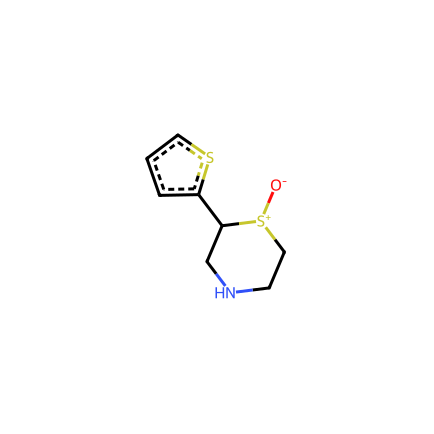 [O-][S+]1CCNCC1c1cccs1